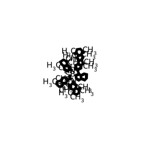 Cc1cc2c(cc1N1c3cc4ccccc4c(-c4cc5c(cc4Nc4ccc6c(c4)C(C)(C)CCC6(C)C)-c4cc6c(cc4C5(C)C)C(C)(C)CCC6(C)C)c3Bc3sc4cc5c(cc4c31)C(C)(C)CCC5(C)C)C(C)(C)CCC2(C)C